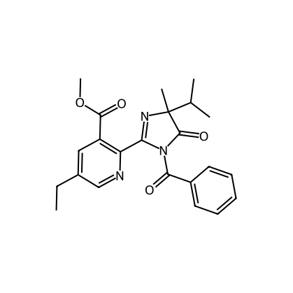 CCc1cnc(C2=NC(C)(C(C)C)C(=O)N2C(=O)c2ccccc2)c(C(=O)OC)c1